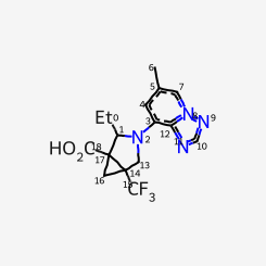 CCC1N(c2cc(C)cn3ncnc23)CC2(C(F)(F)F)CC12C(=O)O